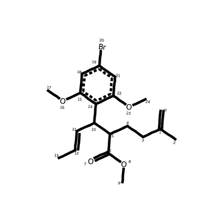 C=C(C)CCC(C(=O)OC)C(/C=C/C)c1c(OC)cc(Br)cc1OC